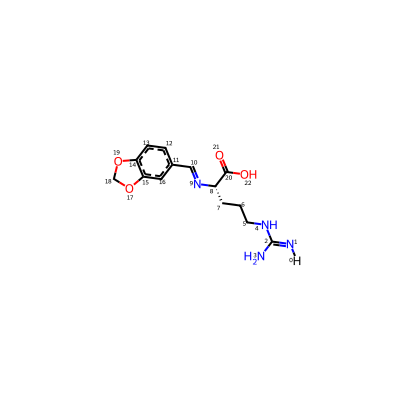 [H]/N=C(\N)NCCC[C@H](N=Cc1ccc2c(c1)OCO2)C(=O)O